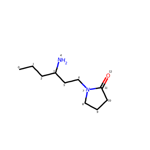 CCCC(N)CCN1CCCC1=O